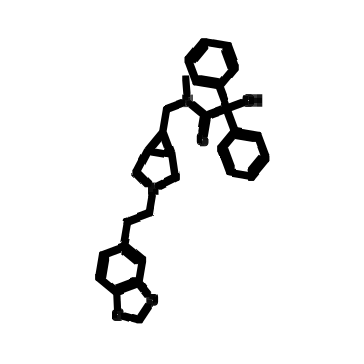 CN(CC1C2CN(CCc3ccc4c(c3)OCO4)CC21)C(=O)C(O)(c1ccccc1)c1ccccc1